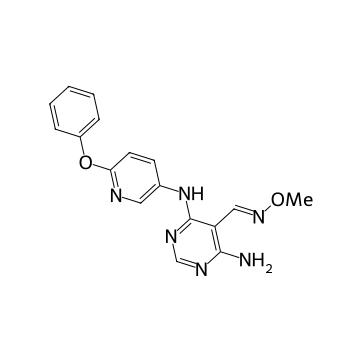 CON=Cc1c(N)ncnc1Nc1ccc(Oc2ccccc2)nc1